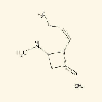 C/C=C1\CC(NC)C1/C=C\CC